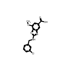 COc1cc(C(=O)O)cc2nc(NCc3cccc(Cl)c3)oc12